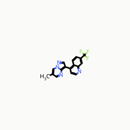 Cc1cnc2c(-c3ccnc4cc(C(F)(F)F)ccc34)cnn2c1